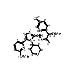 COc1cccc(-c2nnc(NSC(C)C(OC)c3ccc(Cl)cn3)n2C2CCOCC2)n1